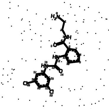 NCCNC(=O)c1ccccc1NC(=O)Nc1cc(Cl)cc(Cl)c1